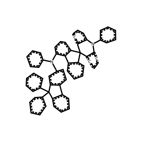 c1ccc(N(c2ccc3c(c2)C(c2ccccc2)(c2ccccc2)c2ccccc2-3)c2cccc3c2-c2ccccc2C32c3ccccc3N(c3ccccc3)c3ccccc32)cc1